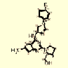 Cc1cc2nc(N3CCC[C@H]3CO)nc(Nc3cn(-c4ccc(F)cc4)cn3)c2s1